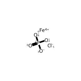 O=P([O-])([O-])[O-].[Cl-].[Fe+4]